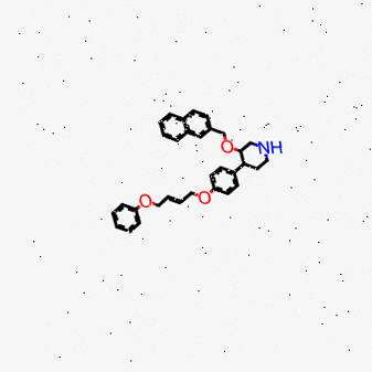 C(=CCOc1ccc(C2CCNCC2OCc2ccc3ccccc3c2)cc1)COc1ccccc1